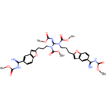 CC(C)(C)OC(=O)N=C(N(CCCc1cc2cc(C(=N)NC(=O)OC(C)(C)C)ccc2o1)C(=O)OC(C)(C)C)N(CCCc1cc2cc(C(=N)NC(=O)OC(C)(C)C)ccc2o1)C(=O)OC(C)(C)C